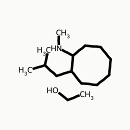 CCO.CNC1CCCCCCC1CC(C)C